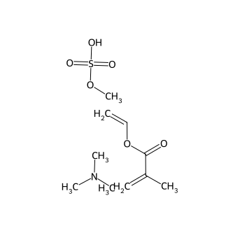 C=COC(=O)C(=C)C.CN(C)C.COS(=O)(=O)O